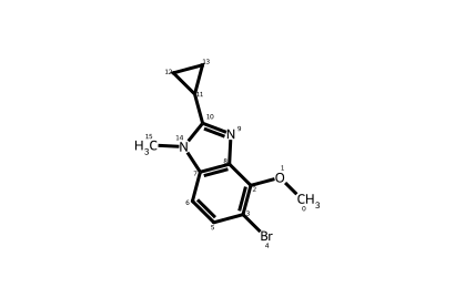 COc1c(Br)ccc2c1nc(C1CC1)n2C